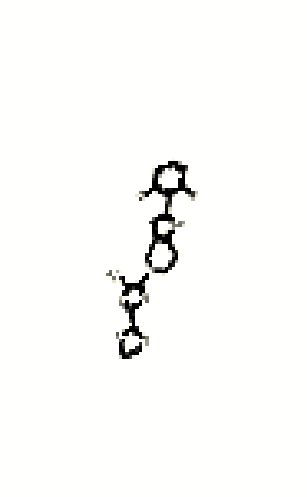 Cc1sc(-c2ncco2)nc1N1CCc2[nH]c(-c3c(F)cccc3Cl)cc2C1